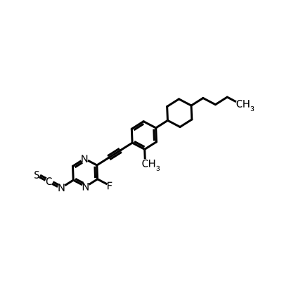 CCCCC1CCC(c2ccc(C#Cc3ncc(N=C=S)nc3F)c(C)c2)CC1